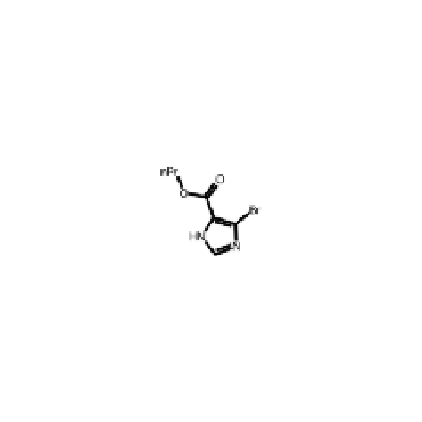 CCCOC(=O)c1[nH]cnc1Br